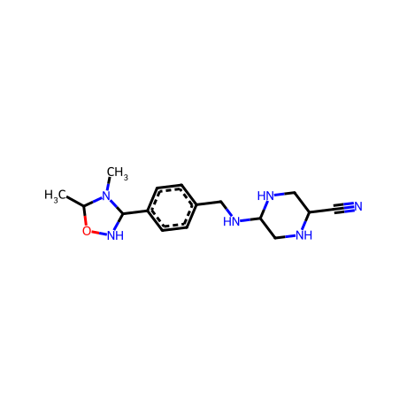 CC1ONC(c2ccc(CNC3CNC(C#N)CN3)cc2)N1C